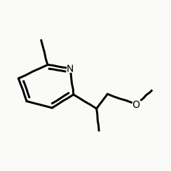 COCC(C)c1cccc(C)n1